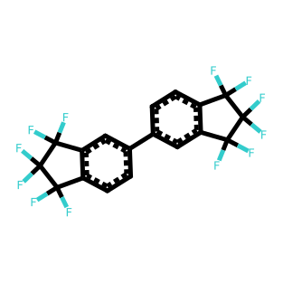 FC1(F)c2ccc(-c3ccc4c(c3)C(F)(F)C(F)(F)C4(F)F)cc2C(F)(F)C1(F)F